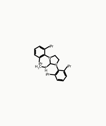 CPC1N(c2c(C(C)C)cccc2C(C)C)CCN1c1c(C(C)C)cccc1C(C)C